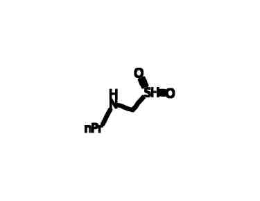 C[CH]CNC[SH](=O)=O